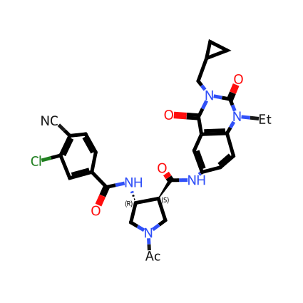 CCn1c(=O)n(CC2CC2)c(=O)c2cc(NC(=O)[C@H]3CN(C(C)=O)C[C@@H]3NC(=O)c3ccc(C#N)c(Cl)c3)ccc21